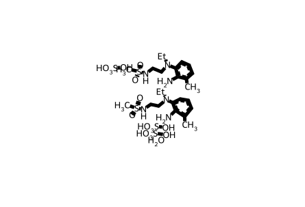 CCN(CCNS(C)(=O)=O)c1cccc(C)c1N.CCN(CCNS(C)(=O)=O)c1cccc(C)c1N.O.O=S(=O)(O)O.O=S(=O)(O)O.O=S(=O)(O)O